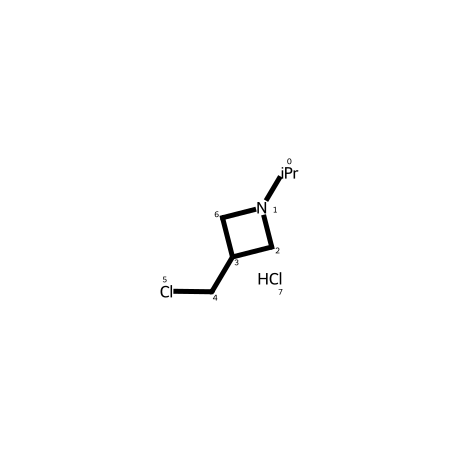 CC(C)N1CC(CCl)C1.Cl